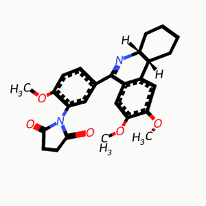 COc1cc2c(cc1OC)[C@H]1CCCC[C@H]1N=C2c1ccc(OC)c(N2C(=O)CCC2=O)c1